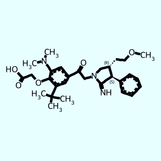 COCC[C@H]1CN(CC(=O)c2cc(N(C)C)c(OCC(=O)O)c(C(C)(C)C)c2)C(=N)[C@@H]1c1ccccc1